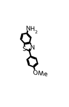 COc1ccc(-c2nc3cc(N)ccc3s2)cc1